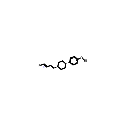 CCOc1ccc([C@H]2CC[C@H](CC/C=C/F)CC2)cc1